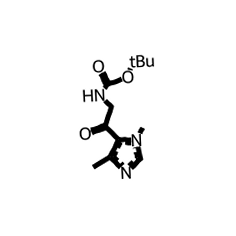 Cc1ncn(C)c1C(=O)CNC(=O)OC(C)(C)C